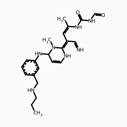 CCCNCc1cccc(NC2C=CN/C(=C(C=N)/C=C(/C)NC(=O)NC=O)N2C)c1